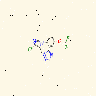 FC(F)COc1ccc2c(c1)-c1ncnn1Cc1c(Cl)ncn1-2